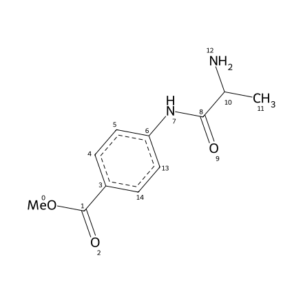 COC(=O)c1ccc(NC(=O)C(C)N)cc1